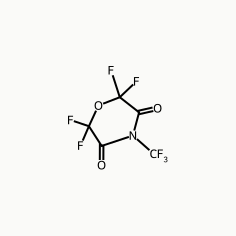 O=C1N(C(F)(F)F)C(=O)C(F)(F)OC1(F)F